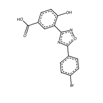 O=C(O)c1ccc(O)c(-c2noc(-c3ccc(Br)cc3)n2)c1